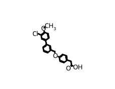 COc1ccc(-c2cccc(COc3ccc(CC(=O)O)cc3)c2)cc1Cl